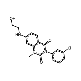 Cn1c(=O)n(-c2cccc(Cl)c2)c(=O)c2ccc(NCCO)cc21